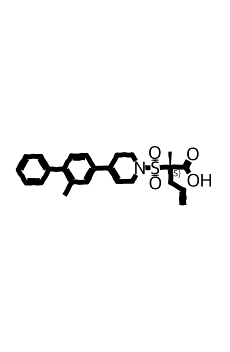 C=CC[C@@](C)(C(=O)O)S(=O)(=O)N1CC=C(c2ccc(-c3ccccc3)c(C)c2)CC1